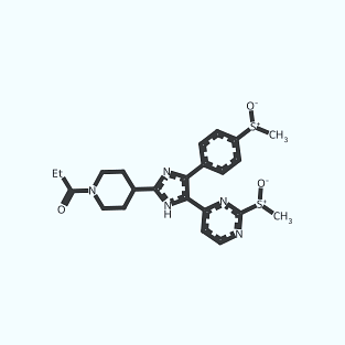 CCC(=O)N1CCC(c2nc(-c3ccc([S+](C)[O-])cc3)c(-c3ccnc([S+](C)[O-])n3)[nH]2)CC1